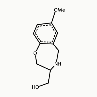 COc1ccc2c(c1)CNC(CO)CO2